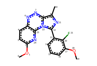 COc1ccc2nnc3c(C)nc(-c4cccc(OC)c4F)n3c2n1